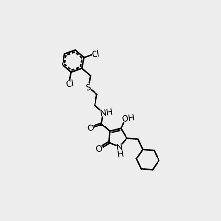 O=C(NCCSCc1c(Cl)cccc1Cl)C1=C(O)C(CC2CCCCC2)NC1=O